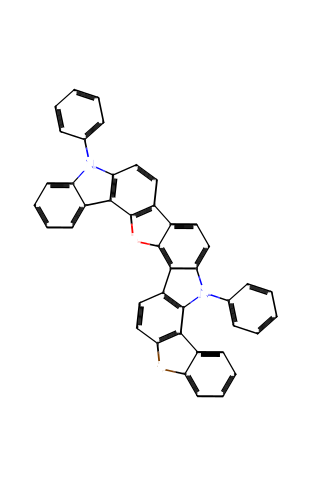 c1ccc(-n2c3ccccc3c3c4oc5c(ccc6c5c5ccc7sc8ccccc8c7c5n6-c5ccccc5)c4ccc32)cc1